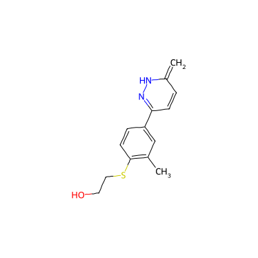 C=C1C=CC(c2ccc(SCCO)c(C)c2)=NN1